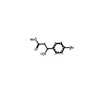 COC(=O)CC(N)c1ccc(C(C)(C)C)cc1